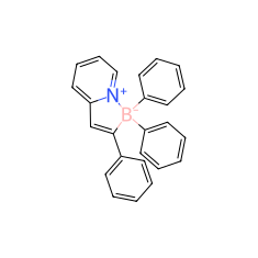 C1=C(c2ccccc2)[B-](c2ccccc2)(c2ccccc2)[n+]2ccccc21